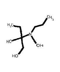 CCCN(O)C(O)(CC)CO